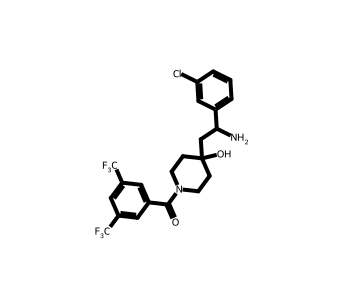 NC(CC1(O)CCN(C(=O)c2cc(C(F)(F)F)cc(C(F)(F)F)c2)CC1)c1cccc(Cl)c1